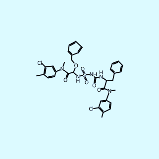 Cc1ccc(N(C)C(=O)C(NS(=O)(=O)NC(=O)N[C@@H](Cc2ccccc2)C(=O)N(C)c2ccc(C)c(Cl)c2)OCc2ccccc2)cc1Cl